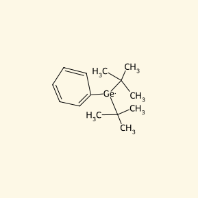 C[C](C)(C)[Ge]([c]1ccccc1)[C](C)(C)C